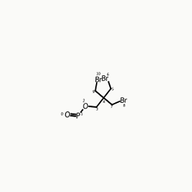 O=POCC(CBr)(CBr)CBr